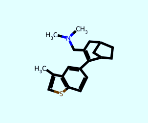 Cc1csc2ccc(C3=C(CN(C)C)CC4CCC3C4)cc12